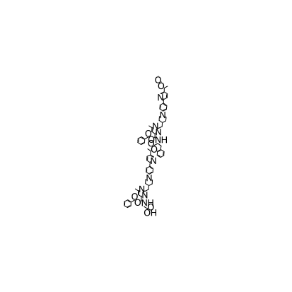 COCOC(C)c1ccc(-c2ccc(N3CCC(Cc4nc(C)c(OCc5ccccc5)c(C(=O)NC(Cc5ccccc5)C(=O)OC(C)c5ccc(-c6ccc(N7CCC(Cc8nc(C)c(OCc9ccccc9)c(C(=O)NCC(=O)O)n8)CC7)cc6)nc5)n4)CC3)cc2)nc1